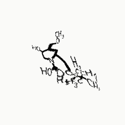 COCC1=CC(CO[Si](C)(C)C(C)(C)C)N(C(=O)O)CC1O